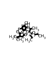 CCCON(CCC)C(=O)C(C)Nc1cc(N2C(=O)CC(=C(C)C)C2=O)c(F)cc1Cl